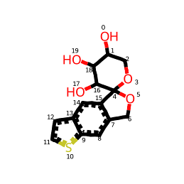 OC1COC2(OCc3cc4sccc4cc32)C(O)C1O